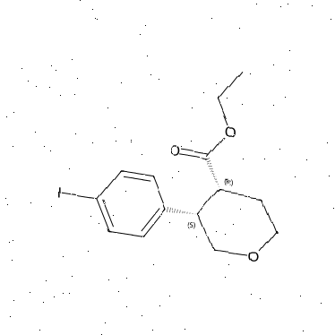 CCOC(=O)[C@@H]1CCOC[C@@H]1c1ccc(I)cc1